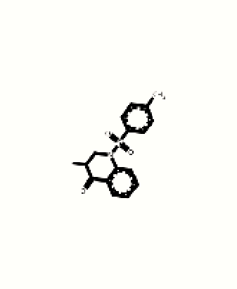 Cc1ccc(S(=O)(=O)N2CC(I)C(=O)c3ccccc32)cc1